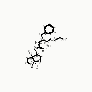 CC(C)CNC[C@@H](O)[C@H](Cc1ccccc1)NC(=O)O[C@H]1CO[C@H]2OCC[C@H]21